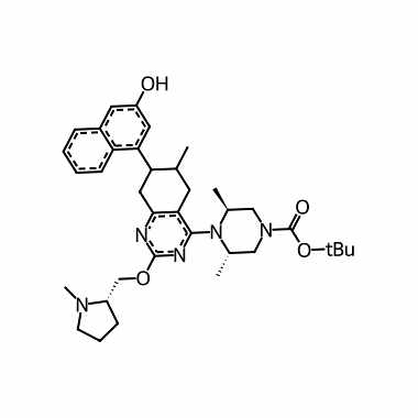 CC1Cc2c(nc(OC[C@@H]3CCCN3C)nc2N2[C@@H](C)CN(C(=O)OC(C)(C)C)C[C@@H]2C)CC1c1cc(O)cc2ccccc12